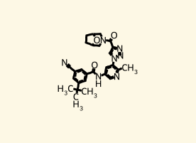 Cc1ncc(NC(=O)c2cc(C#N)cc(C(C)(C)C)c2)cc1-n1cc(C(=O)N2CC3CCC(C2)O3)nn1